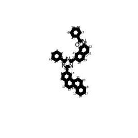 c1ccc(-c2nc(-c3ccc4ccc5c6ccccc6ccc5c4c3)nc(-c3ccc4ccc5nc(-c6ccccc6)oc5c4c3)n2)cc1